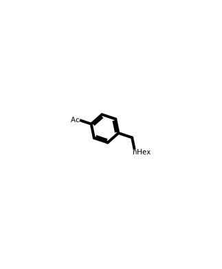 CCCCCCCc1ccc(C(C)=O)cc1